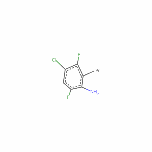 CC(C)c1c(N)c(F)cc(Cl)c1F